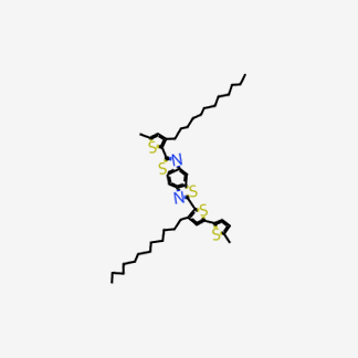 CCCCCCCCCCCCc1cc(C)sc1-c1nc2cc3sc(-c4sc(-c5ccc(C)s5)cc4CCCCCCCCCCCC)nc3cc2s1